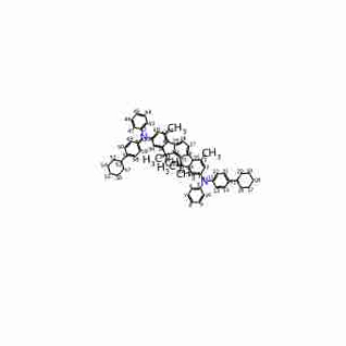 CC1=CC(N(c2ccccc2)c2ccc(C3CCCCC3)cc2)=CC2C1c1ccc3c(c1C2(C)C)C(C)(C)c1cc(N(c2ccccc2)c2ccc(C4CCCCC4)cc2)cc(C)c1-3